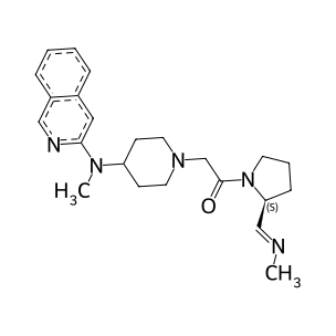 CN=C[C@@H]1CCCN1C(=O)CN1CCC(N(C)c2cc3ccccc3cn2)CC1